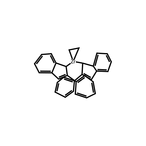 C1=C(c2ccccc2)[CH]([Zr]2([CH]3C(c4ccccc4)=Cc4ccccc43)[CH2][CH2]2)c2ccccc21